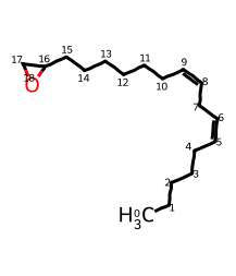 CCCCC/C=C\C/C=C\CCCCCCC1CO1